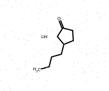 C[CH]CCC1CCC(=O)C1.[LiH]